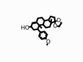 COc1ccc(C2CC(O)C=C3CCC4C(CCC5(C)C4CCC54OCCO4)C32C)cc1